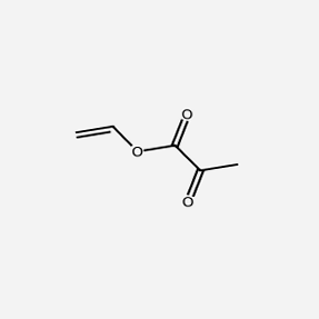 C=COC(=O)C(C)=O